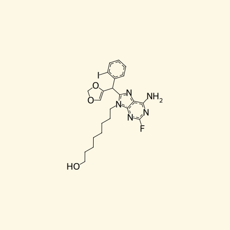 Nc1nc(F)nc2c1nc(C(C1=COCO1)c1ccccc1I)n2CCCCCCCCO